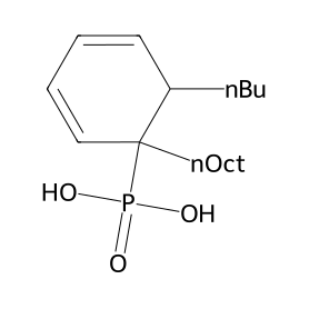 CCCCCCCCC1(P(=O)(O)O)C=CC=CC1CCCC